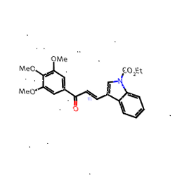 CCOC(=O)n1cc(/C=C/C(=O)c2cc(OC)c(OC)c(OC)c2)c2ccccc21